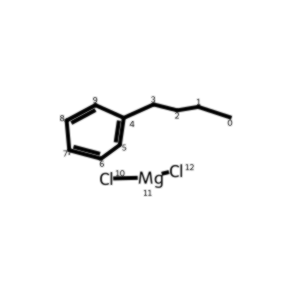 CCCCc1cc[c]cc1.[Cl][Mg][Cl]